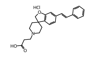 Cl.O=C(O)CCN1CCC2(CC1)COc1cc(/C=C/c3ccccc3)ccc12